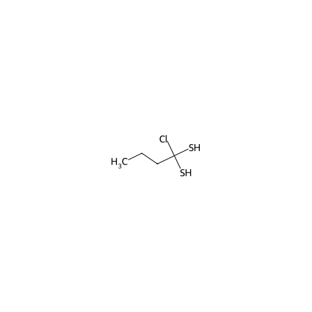 CCCC(S)(S)Cl